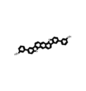 CCCc1cccc(-c2ccc3sc4c5cc6ccc7c8cc(-c9cccc(CCC)c9)ccc8sc7c6cc5ccc4c3c2)c1